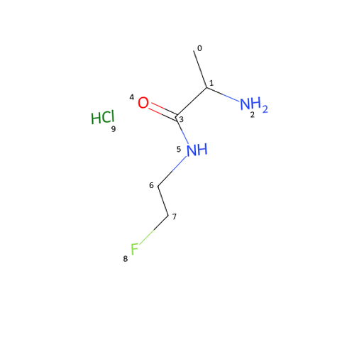 CC(N)C(=O)NCCF.Cl